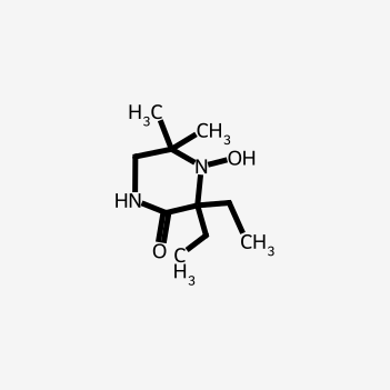 CCC1(CC)C(=O)NCC(C)(C)N1O